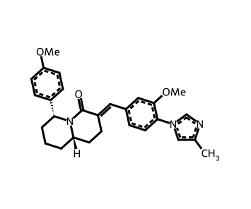 COc1ccc([C@H]2CCC[C@H]3CC/C(=C\c4ccc(-n5cnc(C)c5)c(OC)c4)C(=O)N32)cc1